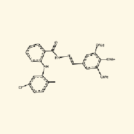 COc1cc(/C=N/NC(=O)c2cccnc2Nc2cc(Cl)ccc2C)cc(OC)c1OC